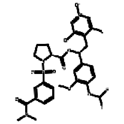 COc1cc([C@H](Cc2c(Cl)c[n+]([O-])cc2Cl)OC(=O)[C@@H]2CCCN2S(=O)(=O)c2cccc(C(=O)N(C)C)c2)ccc1OC(F)F